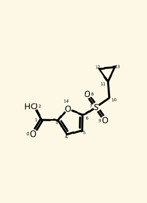 O=C(O)c1ccc(S(=O)(=O)CC2CC2)o1